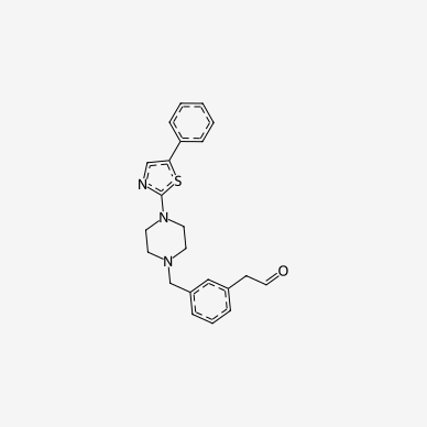 O=CCc1cccc(CN2CCN(c3ncc(-c4ccccc4)s3)CC2)c1